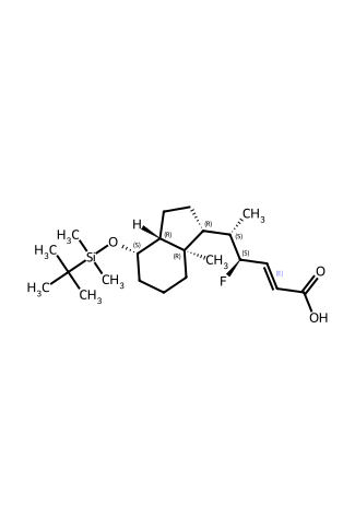 C[C@H]([C@H](F)/C=C/C(=O)O)[C@H]1CC[C@H]2[C@@H](O[Si](C)(C)C(C)(C)C)CCC[C@]12C